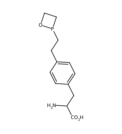 NC(Cc1ccc(CCP2CCO2)cc1)C(=O)O